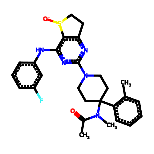 CC(=O)N(C)C1(c2ccccc2C)CCN(c2nc3c(c(Nc4cccc(F)c4)n2)[S+]([O-])CC3)CC1